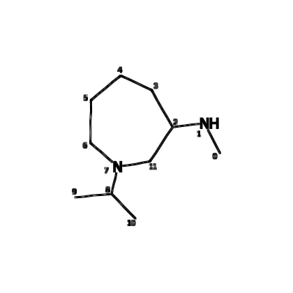 CNC1CCCCN(C(C)C)C1